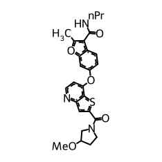 CCCNC(=O)c1c(C)oc2cc(Oc3ccnc4cc(C(=O)N5CCC(OC)C5)sc34)ccc12